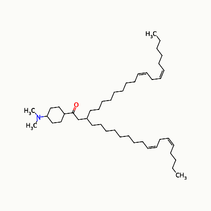 CCCC/C=C\C/C=C\CCCCCCCCC(CCCCCCCC/C=C\C/C=C\CCCCC)CC(=O)C1CCC(N(C)C)CC1